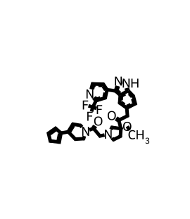 CO[C@@]1(C(=O)Cc2ccc3[nH]nc(-c4ccnc(C(F)(F)F)c4)c3c2)CCN(CC(=O)N2CC=C(C3=CCC=C3)CC2)C1